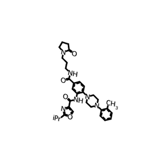 Cc1ccccc1N1CCN(c2ccc(C(=O)NCCCN3CCCC3=O)cc2NC(=O)c2coc(C(C)C)n2)CC1